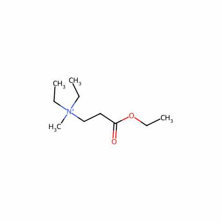 CCOC(=O)CC[N+](C)(CC)CC